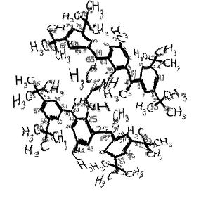 Cc1cc([C@H](C)c2cc(C(C)(C)C)cc(C(C)(C)C)c2)c(NCCNc2c([C@H](C)c3cc(C(C)(C)C)cc(C(C)(C)C)c3)cc(C)cc2[C@H](C)c2cc(C(C)(C)C)cc(C(C)(C)C)c2)c([C@H](C)c2cc(C(C)(C)C)cc(C(C)(C)C)c2)c1